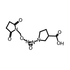 O=C(O)C1CCN(n2on2OCN2C(=O)CCC2=O)C1